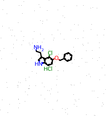 Cl.NCCc1c[nH]c2ccc(OCc3ccccc3)c(Cl)c12